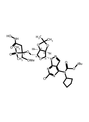 COC[C@@](CC(=O)NO)(OC[C@H]1O[C@@H](n2ncc3c(N(C(=O)OC(C)(C)C)C4CCCC4)nc(Cl)nc32)[C@@H]2OC(C)(C)O[C@@H]21)P(C)(C)=O